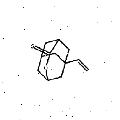 C=CC12CC3CC(C1)OC(=S)C(C3)C2